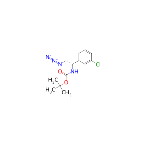 CC(C)(C)OC(=O)N[C@H](CN=[N+]=[N-])c1cccc(Cl)c1